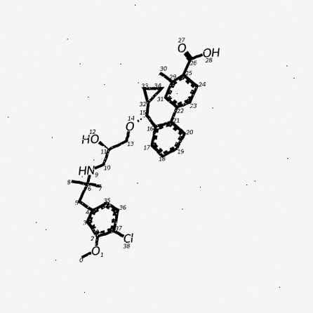 COc1cc(CC(C)(C)NC[C@@H](O)CO[C@@H](c2ccccc2-c2ccc(C(=O)O)c(C)c2)C2CC2)ccc1Cl